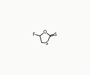 FC1CSC(=S)O1